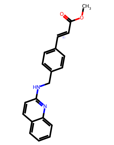 COC(=O)/C=C/c1ccc(CNc2ccc3ccccc3n2)cc1